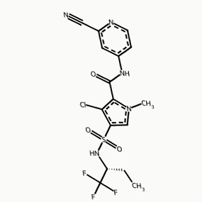 CC[C@@H](NS(=O)(=O)c1cn(C)c(C(=O)Nc2ccnc(C#N)c2)c1Cl)C(F)(F)F